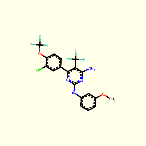 COc1cccc(Nc2nc(N)c(C(F)(F)F)c(-c3ccc(OC(F)(F)F)c(Cl)c3)n2)c1